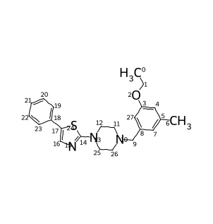 CCOc1cc(C)cc(CN2CCN(c3ncc(-c4ccccc4)s3)CC2)c1